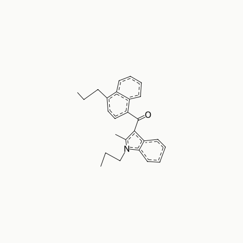 CCCc1ccc(C(=O)c2c(C)n(CCC)c3ccccc23)c2ccccc12